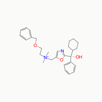 C[N+](C)(CCOCc1ccccc1)Cc1cnc([C@](O)(c2ccccc2)C2CCCCC2)o1